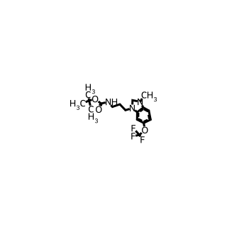 CN1CN(CCCNC(=O)OC(C)(C)C)c2cc(OC(F)(F)F)ccc21